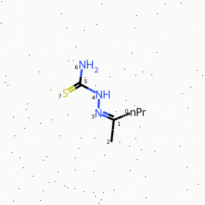 CCC/C(C)=N\NC(N)=S